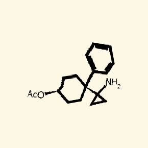 CC(=O)O[C@H]1CC[C@@](c2ccccc2)(C2(N)CC2)CC1